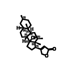 C[C@H]1CC[C@@]2(C)[C@H](CC[C@@H]3[C@@H]2C[C@@H](C)[C@]2(C)[C@@H](C4=CC(=O)OC4)CC[C@]32O)C1